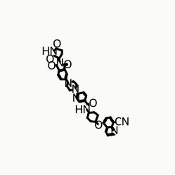 N#Cc1ccc(OC2CCC(NC(=O)c3ccc(N4CCN(c5ccc6c(c5)C(=O)N(C5CCC(=O)NC5=O)C6=O)CC4)nc3)CC2)c2cccnc12